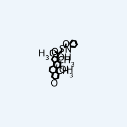 C[C@@H]1CC2C3CCC4=CC(=O)C=CC4(C)[C@@]3(Cl)[C@@H](O)CC2(C)[C@@]1(O)C(=O)CSc1nc2ccccc2o1